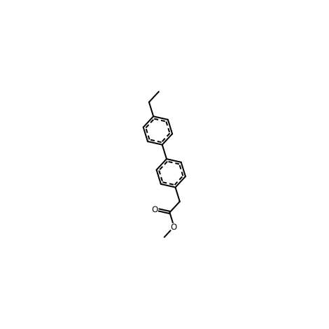 CCc1ccc(-c2ccc(CC(=O)OC)cc2)cc1